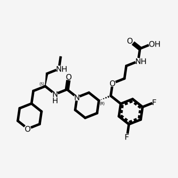 CNC[C@H](CC1CCOCC1)NC(=O)N1CCC[C@@H](C(OCCNC(=O)O)c2cc(F)cc(F)c2)C1